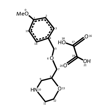 COc1ccc(COCC2CNCCO2)cc1.O=C(O)C(=O)O